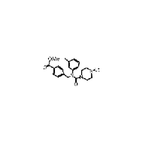 CCN1CCN(C(=O)N(Cc2ccc(C(=O)OC)cc2)c2cccc(C)c2)CC1